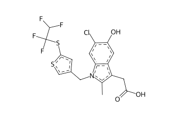 Cc1c(CC(=O)O)c2cc(O)c(Cl)cc2n1Cc1csc(SC(F)(F)C(F)F)c1